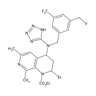 CCOC(=O)N1c2c(cc(C)nc2C)C(N(Cc2cc(CF)cc(C(F)(F)F)c2)c2nnn[nH]2)CC1CC